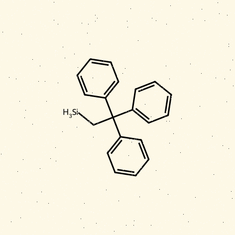 [SiH3]CC(c1ccccc1)(c1ccccc1)c1ccccc1